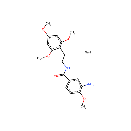 COc1cc(OC)c(CCNC(=O)c2ccc(OC)c(N)c2)c(OC)c1.[NaH]